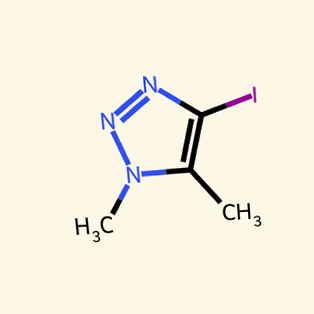 Cc1c(I)nnn1C